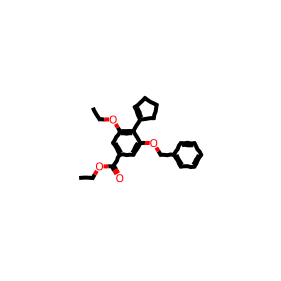 CCOC(=O)c1cc(OCC)c(C2=CCCC2)c(OCc2ccccc2)c1